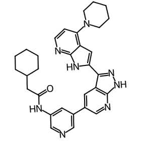 O=C(CC1CCCCC1)Nc1cncc(-c2cnc3[nH]nc(-c4cc5c(N6CCCCC6)ccnc5[nH]4)c3c2)c1